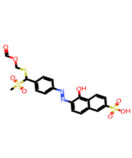 CS(=O)(=O)C(SCOC=O)c1ccc(N=Nc2ccc3cc(S(=O)(=O)O)ccc3c2O)cc1